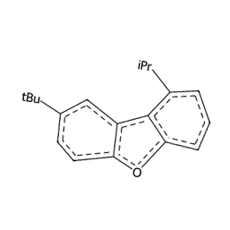 CC(C)c1cccc2oc3ccc(C(C)(C)C)cc3c12